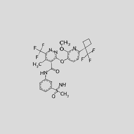 COc1nc(C2(C(F)(F)F)CCC2)ccc1Oc1nnc(C(F)(F)F)c(C)c1C(=O)Nc1cccc(S(C)(=N)=O)c1